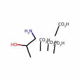 CC(=O)O.CC(=O)O.CC(=O)O.CC(=O)O.CC(O)CN